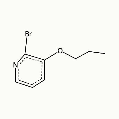 CCCOc1cccnc1Br